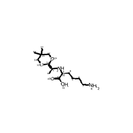 CC(N[C@@H](CCCCN)C(=O)O)=C1OCC(C)(C)CO1